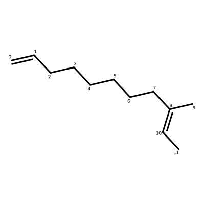 C=CCCCCCCC(C)=CC